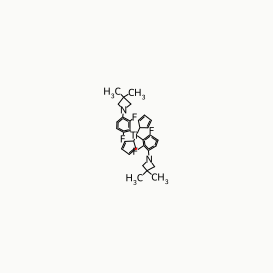 CC1(C)CN(c2ccc(F)[c]([Ti]([c]3c(F)ccc(N4CC(C)(C)C4)c3F)([CH]3C=CC=C3)[CH]3C=CC=C3)c2F)C1